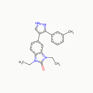 CCn1c(=O)n(CC)c2cc(-c3c[nH]nc3-c3cccc(C)c3)ccc21